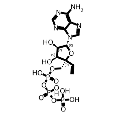 C=C[C@]1(COP(=O)(O)OP(=O)(O)OP(=O)(O)O)O[C@@H](n2cnc3c(N)ncnc32)[C@H](O)[C@@H]1O